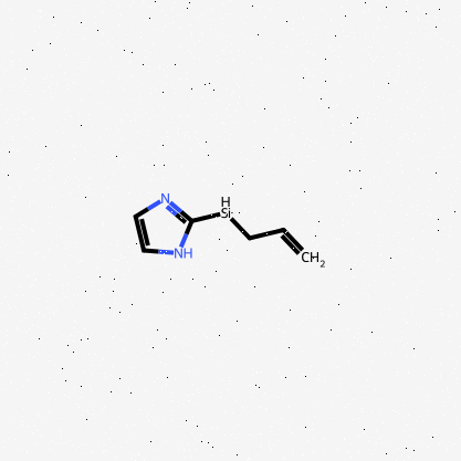 C=CC[SiH]c1ncc[nH]1